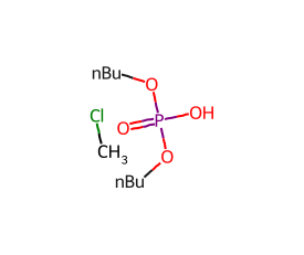 CCCCOP(=O)(O)OCCCC.CCl